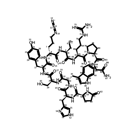 CC(C)C[C@H](NC(=O)[C@@H](CCCN=[N+]=[N-])NC(=O)[C@H](Cc1ccc(O)cc1)NC(=O)[C@H](CO)NC(=O)[C@H](Cc1c[nH]c2ccccc12)NC(=O)[C@H](Cc1c[nH]cn1)NC(=O)[C@@H]1CCC(=O)N1)C(=O)N[C@@H](CCCNC(=N)N)C(=O)N1CCC[C@H]1C(=O)NCC(N)=O